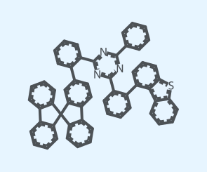 c1ccc(-c2nc(-c3ccccc3-c3ccc4c(c3)C3(c5ccccc5-c5ccccc53)c3ccccc3-4)nc(-c3ccccc3-c3cccc4sc5ccccc5c34)n2)cc1